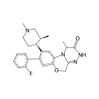 CC1C(=O)NN=C2COc3cc(-c4ccccc4F)c([C@H]4CCN(C)C[C@H]4C)cc3N21